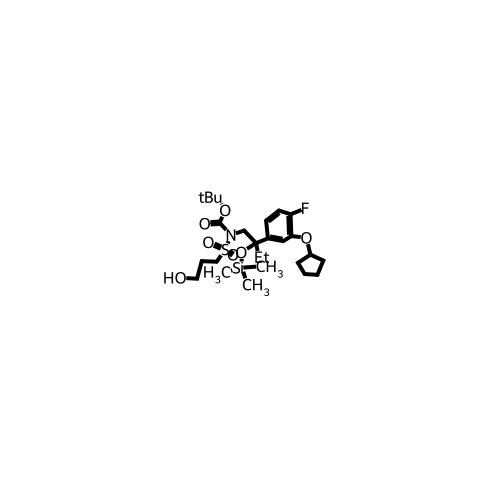 CCC(CN(C(=O)OC(C)(C)C)S(=O)(=O)CCCO)(O[Si](C)(C)C)c1ccc(F)c(OC2CCCC2)c1